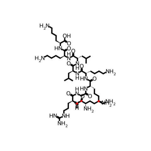 CC(C)C[C@H](NC(=O)[C@H](CC(C)C)NC(=O)[C@H](CCCCN)NC(=O)[C@H](CCCCN)NC(=O)[C@H](CC(C)C)NC(=O)[C@H](CCCNC(=N)N)NC(=O)[C@@H](N)CCCCN)C(=O)N[C@@H](CCCCN)C(=O)N[C@@H](CCCCN)C(=O)O